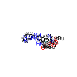 Cc1c(-c2cc3cc(Nc4cc5n(n4)Cc4nccn4CC5)ncc3c(NC(=O)OC(C)(C)C)c2F)cncc1N(C(=O)OC(C)(C)C)C(=O)OC(C)(C)C